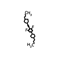 CCCCC1CCC(C#Cc2c(F)cc(C3CCC(CCCC)CC3)cc2F)CC1